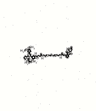 CCC(C)(C)C(=O)C(=O)N1CCCCC1C(=O)C[C@H](CCc1ccc(OC)c(OC)c1)c1cccc(NC(=O)CCC(=O)NCCCOCCOCCOCCCNC(=O)COc2cccc3c2C(=O)N(C2CCC(=O)NC2=O)C3=O)c1